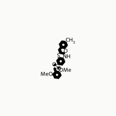 COc1cccc(OC)c1CS(=O)(=O)c1ccc2c(c1)SC(=Cc1ccc(C)cc1)C(=O)N2